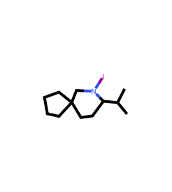 CC(C)C1CCC2(CCCC2)CN1I